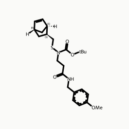 COc1ccc(CNC(=O)CCN(SC[C@H]2C[C@@H]3C=C[C@@H]2C3)C(=O)OC(C)(C)C)cc1